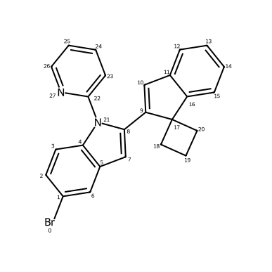 Brc1ccc2c(c1)cc(C1=Cc3ccccc3C13CCC3)n2-c1ccccn1